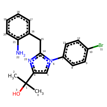 CC(C)(O)c1cn(-c2ccc(Br)cc2)c(Cc2ccccc2N)n1